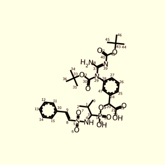 CC(C)C(NS(=O)(=O)C=Cc1ccccc1)P(=O)(O)OC(C(=O)O)c1cccc(N(C(=O)OC(C)(C)C)C(N)=NC(=O)OC(C)(C)C)c1